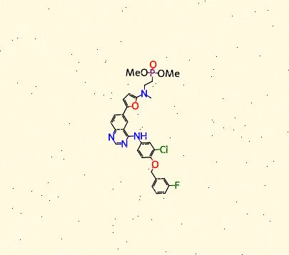 COP(=O)(CCN(C)c1ccc(-c2ccc3ncnc(Nc4ccc(OCc5cccc(F)c5)c(Cl)c4)c3c2)o1)OC